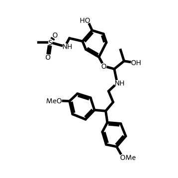 COc1ccc(C(CCNC(Oc2ccc(O)c(CNS(C)(=O)=O)c2)C(C)O)c2ccc(OC)cc2)cc1